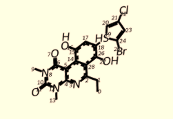 CCc1nc2c(c(=O)n(C)c(=O)n2C)c2c(O)cc([SH]3C=C(Cl)C=C3Br)c(O)c12